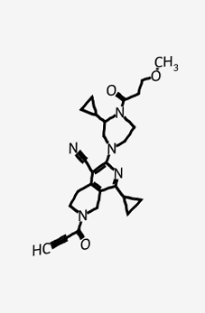 C#CC(=O)N1CCc2c(C#N)c(N3CCN(C(=O)CCOC)C(C4CC4)C3)nc(C3CC3)c2C1